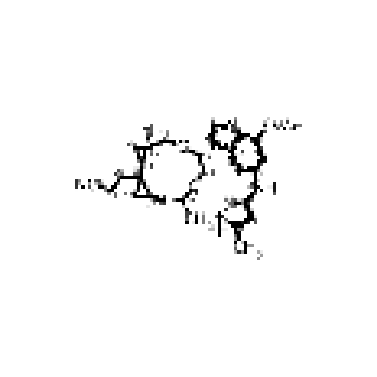 COc1cc(Nc2cc(C)[nH]n2)nc2c1ncn2[C@@H]1CC[C@@H](C)CC2CC2(CCC#N)C2C[C@@H]2CC1